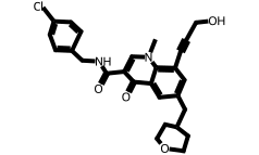 Cn1cc(C(=O)NCc2ccc(Cl)cc2)c(=O)c2cc(CC3CCOCC3)cc(C#CCO)c21